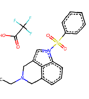 CCN1Cc2cccc3c2c(cn3S(=O)(=O)c2ccccc2)C1.O=C(O)C(F)(F)F